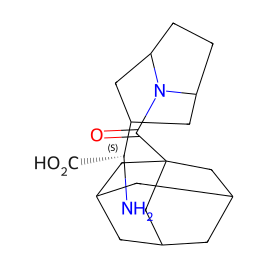 N[C@H](C(=O)O)C1CC2CCC(C1)N2C(=O)C12CC3CC(CC(C3)C1)C2